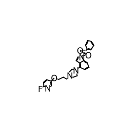 O=S(=O)(c1ccccc1)n1ccc2c(N3CCN(CCCOc4ccc(F)nc4)CC3)cccc21